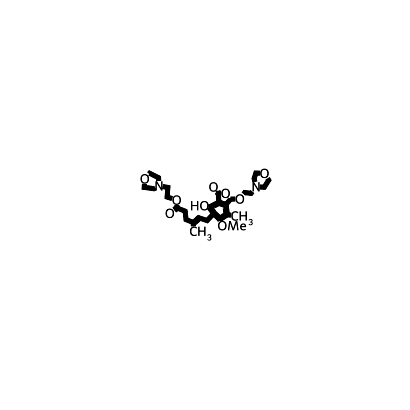 COc1c(C)c2c(c(O)c1C/C=C(\C)CCC(=O)OCCN1CCOCC1)C(=O)OC2OCCN1CCOCC1